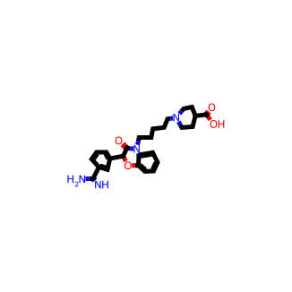 N=C(N)c1cccc(C2Oc3ccccc3N(CCCCCN3CCC(C(=O)O)CC3)C2=O)c1